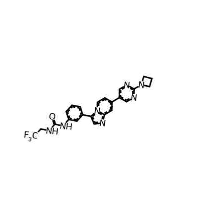 O=C(NCC(F)(F)F)Nc1cccc(-c2cnc3cc(-c4cnc(N5CCC5)nc4)ccn23)c1